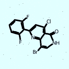 O=c1[nH]cc(Br)c2nc(-c3c(F)cccc3F)cc(Cl)c12